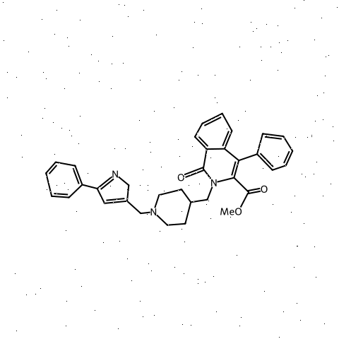 COC(=O)c1c(-c2ccccc2)c2ccccc2c(=O)n1CC1CCN(CC2=CC(c3ccccc3)=NC2)CC1